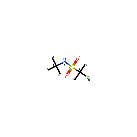 CC(C)(C)NS(=O)(=O)C(C)(C)Cl